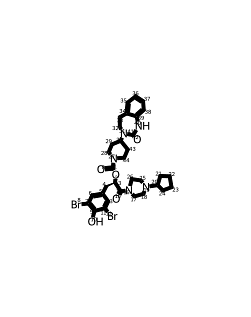 O=C(O[C@H](Cc1cc(Br)c(O)c(Br)c1)C(=O)N1CCN(C2CCCC2)CC1)N1CCC(N2CCc3ccccc3NC2=O)CC1